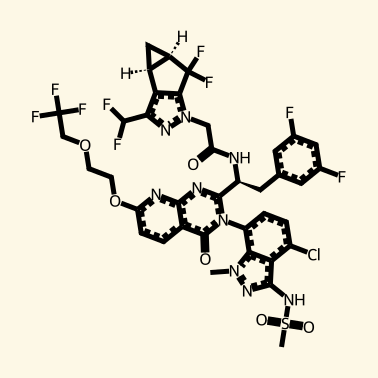 Cn1nc(NS(C)(=O)=O)c2c(Cl)ccc(-n3c([C@H](Cc4cc(F)cc(F)c4)NC(=O)Cn4nc(C(F)F)c5c4C(F)(F)[C@@H]4C[C@H]54)nc4nc(OCCOCC(F)(F)F)ccc4c3=O)c21